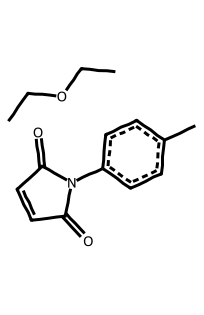 CCOCC.Cc1ccc(N2C(=O)C=CC2=O)cc1